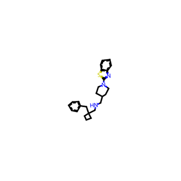 c1ccc(CC2(CNCC3CCN(c4nc5ccccc5s4)CC3)CCC2)cc1